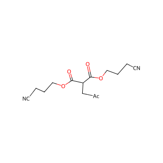 CC(=O)CC(C(=O)OCCCC#N)C(=O)OCCCC#N